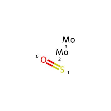 O=S.[Mo].[Mo]